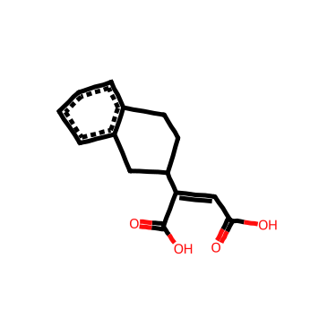 O=C(O)/C=C(\C(=O)O)C1CCc2ccccc2C1